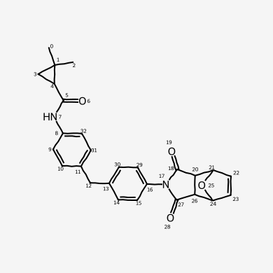 CC1(C)CC1C(=O)Nc1ccc(Cc2ccc(N3C(=O)C4C5C=CC(O5)C4C3=O)cc2)cc1